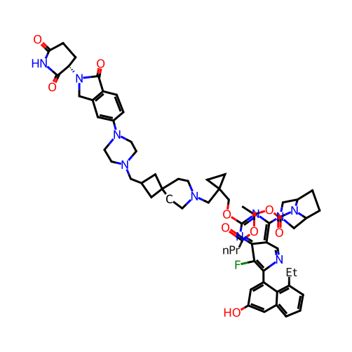 CCCC(=O)OC(C)OC(=O)N1C2CCC1CN(c1nc(OCC3(CN4CCC5(CC4)CC(CN4CCN(c6ccc7c(c6)CN([C@H]6CCC(=O)NC6=O)C7=O)CC4)C5)CC3)nc3c(F)c(-c4cc(O)cc5cccc(CC)c45)ncc13)C2